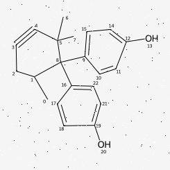 CC1CC#CC(C)(C)C1(c1ccc(O)cc1)c1ccc(O)cc1